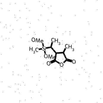 CO[Si](C)(OC)C(C)C1C(=O)OC(=O)C1C